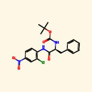 CC(C)(C)OC(=O)N[C@@H](Cc1ccccc1)C(=O)Nc1ccc([N+](=O)[O-])cc1Cl